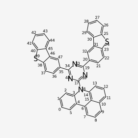 c1ccc2c(c1)-c1cccc3cccc(c13)N2c1nc(-c2ccc3sc4ccccc4c3c2)nc(-c2ccc3sc4ccccc4c3c2)n1